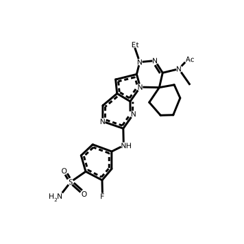 CCN1N=C(N(C)C(C)=O)C2(CCCCC2)n2c1cc1cnc(Nc3ccc(S(N)(=O)=O)c(F)c3)nc12